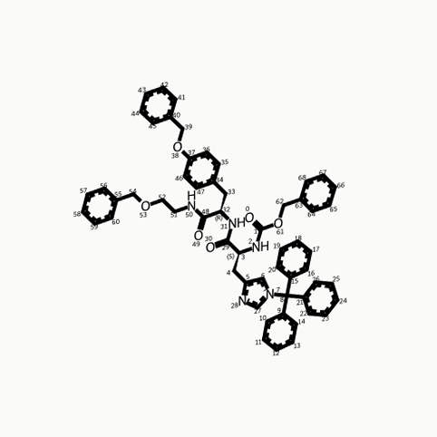 O=C(N[C@@H](Cc1cn(C(c2ccccc2)(c2ccccc2)c2ccccc2)cn1)C(=O)N[C@H](Cc1ccc(OCc2ccccc2)cc1)C(=O)NCCOCc1ccccc1)OCc1ccccc1